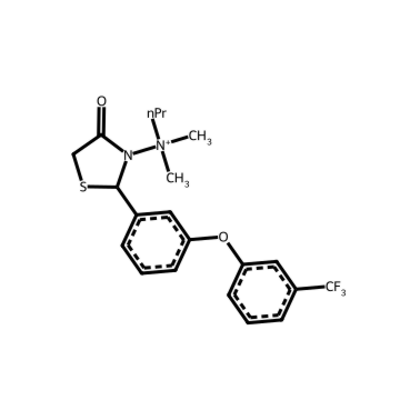 CCC[N+](C)(C)N1C(=O)CSC1c1cccc(Oc2cccc(C(F)(F)F)c2)c1